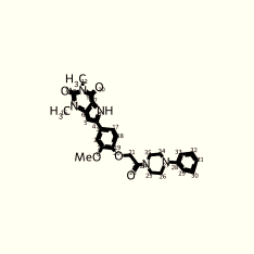 COc1cc(-c2cc3c([nH]2)c(=O)n(C)c(=O)n3C)ccc1OCC(=O)N1CCN(c2ccccc2)CC1